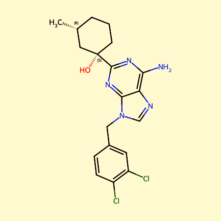 C[C@@H]1CCC[C@@](O)(c2nc(N)c3ncn(Cc4ccc(Cl)c(Cl)c4)c3n2)C1